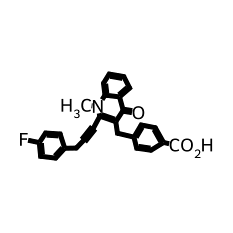 Cn1c(C#CCc2ccc(F)cc2)c(Cc2ccc(C(=O)O)cc2)c(=O)c2ccccc21